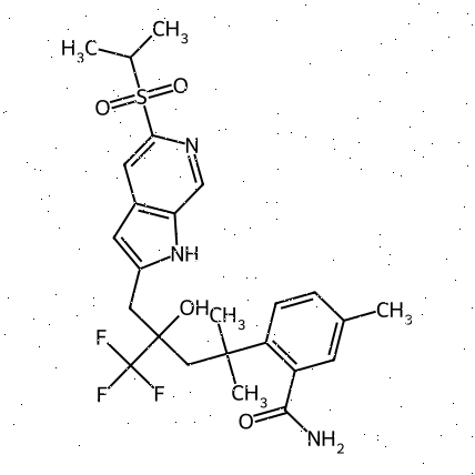 Cc1ccc(C(C)(C)CC(O)(Cc2cc3cc(S(=O)(=O)C(C)C)ncc3[nH]2)C(F)(F)F)c(C(N)=O)c1